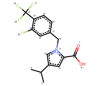 CC(C)c1cc(C(=O)O)n(Cc2ccc(C(F)(F)F)c(F)c2)c1